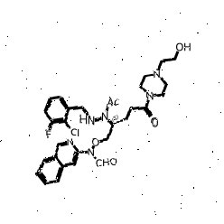 CC(=O)N(NCc1cccc(F)c1Cl)[C@@H](CCC(=O)N1CCN(CCO)CC1)CON(C=O)c1cc2ccccc2cn1